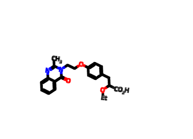 CCOC(Cc1ccc(OCCn2c(C)nc3ccccc3c2=O)cc1)C(=O)O